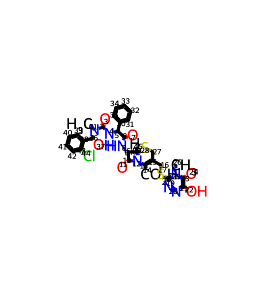 CN(C(=O)NC(C(=O)N[C@H]1C(=O)N2C(C(=O)O)=C(CSc3nnc(O)c(=O)n3C)CS[C@@H]12)c1ccccc1)C(=O)c1ccccc1Cl